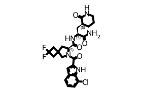 NC(=O)[C@H](C[C@@H]1CCCNC1=O)NC(=O)[C@@H]1CC2(CN1C(=O)c1cc3cccc(Cl)c3[nH]1)CC(F)(F)C2